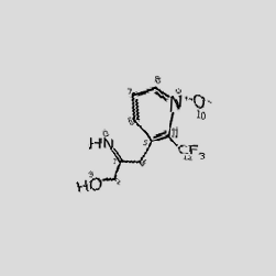 N=C(CO)Cc1ccc[n+]([O-])c1C(F)(F)F